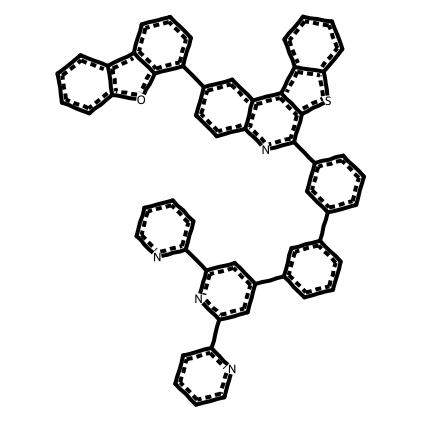 c1ccc(-c2cc(-c3cccc(-c4cccc(-c5nc6ccc(-c7cccc8c7oc7ccccc78)cc6c6c5sc5ccccc56)c4)c3)cc(-c3ccccn3)n2)nc1